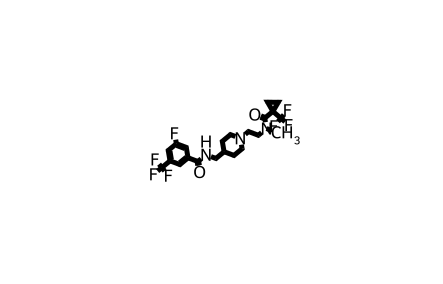 CN(CCN1CCC(CNC(=O)c2cc(F)cc(C(F)(F)F)c2)CC1)C(=O)C1(C(F)(F)F)CC1